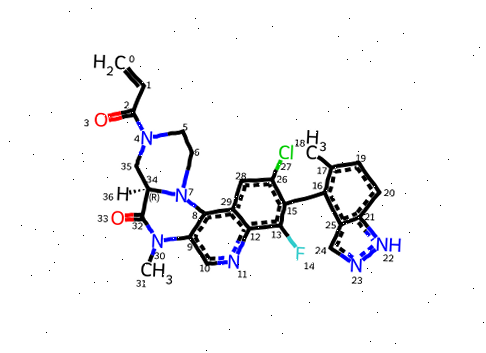 C=CC(=O)N1CCN2c3c(cnc4c(F)c(-c5c(C)ccc6[nH]ncc56)c(Cl)cc34)N(C)C(=O)[C@H]2C1